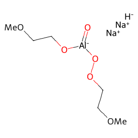 COCCO[O][Al-](=[O])[O]CCOC.[H-].[Na+].[Na+]